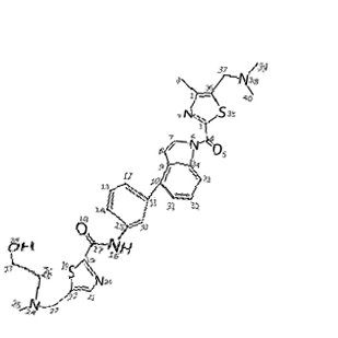 Cc1nc(C(=O)n2ccc3c(-c4cccc(NC(=O)c5ncc(CN(C)CCO)s5)c4)cccc32)sc1CN(C)C